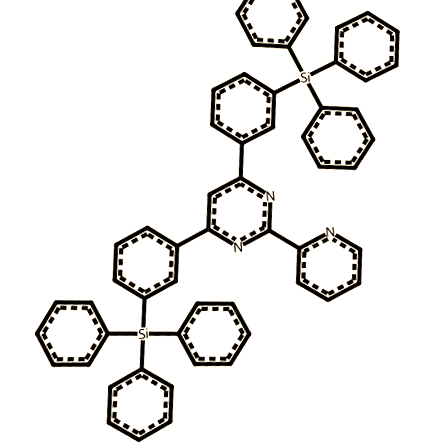 c1ccc([Si](c2ccccc2)(c2ccccc2)c2cccc(-c3cc(-c4cccc([Si](c5ccccc5)(c5ccccc5)c5ccccc5)c4)nc(-c4ccccn4)n3)c2)cc1